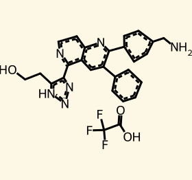 NCc1ccc(-c2nc3ccnc(-c4nn[nH]c4CCO)c3cc2-c2ccccc2)cc1.O=C(O)C(F)(F)F